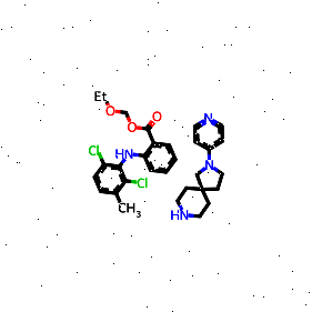 CCOCOC(=O)c1ccccc1Nc1c(Cl)ccc(C)c1Cl.c1cc(N2CCC3(CCNCC3)C2)ccn1